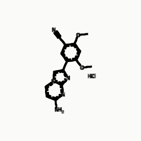 COc1cc(OC)c(-c2cn3ccc(N)nc3n2)cc1C#N.Cl